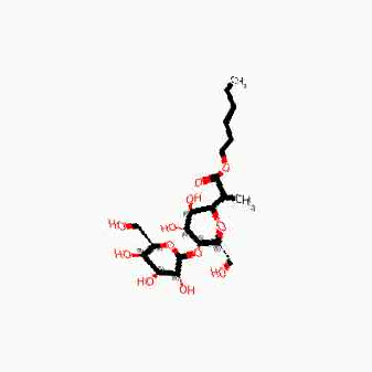 CCCCCCOC(=O)C(C)C1O[C@H](CO)[C@@H](OC2O[C@H](CO)[C@H](O)[C@H](O)[C@H]2O)[C@H](O)[C@H]1O